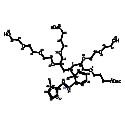 CCCCCCCCCCCCCOCC(CN(CC(COCCCCCCCCCCCCC)OCCOCCOCCO)C1(C)C=CC=CC1/N=N/c1scc[n+]1C)OCCOCCO